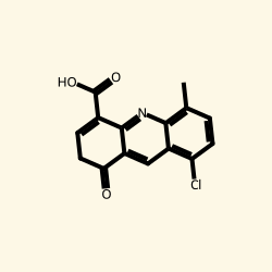 Cc1ccc(Cl)c2cc3c(nc12)C(C(=O)O)=CCC3=O